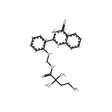 CC(C)(CCN)C(=O)OCOc1ccccc1-c1nc2ccccc2c(=O)[nH]1